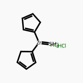 Cl.Cl.[SiH2]=[Zr]([C]1=CC=CC1)[C]1=CC=CC1